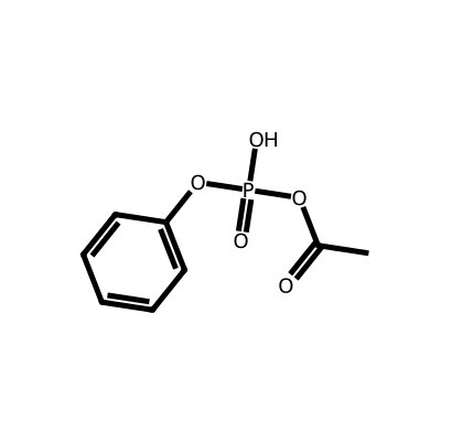 CC(=O)OP(=O)(O)Oc1ccccc1